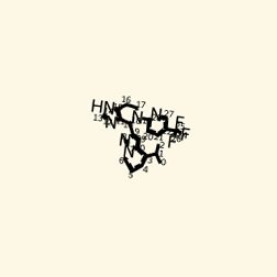 CC(C)c1cccn2nc(C3c4nc[nH]c4CCN3c3ccc(C(F)(F)F)cn3)cc12